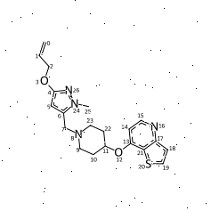 C=CCOc1cc(CN2CCC(Oc3ccnc4ccsc34)CC2)n(C)n1